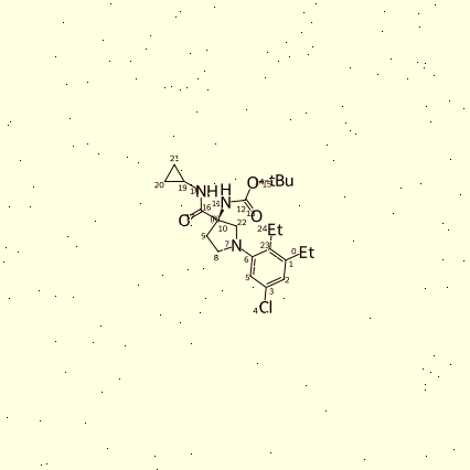 CCc1cc(Cl)cc(N2CC[C@](NC(=O)OC(C)(C)C)(C(=O)NC3CC3)C2)c1CC